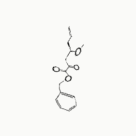 C=CC[C@H](CC(=O)C(=O)OCc1ccccc1)OC